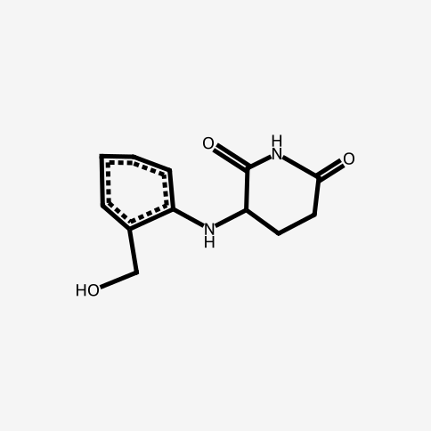 O=C1CCC(Nc2ccccc2CO)C(=O)N1